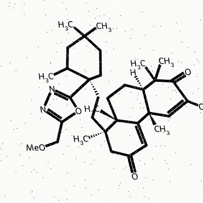 COCc1nnc([C@]2(CC[C@]3(C)CC(=O)C=C4[C@@]5(C)C=C(C#N)C(=O)C(C)(C)[C@@H]5CC[C@]43C)CCC(C)(C)CC2C)o1